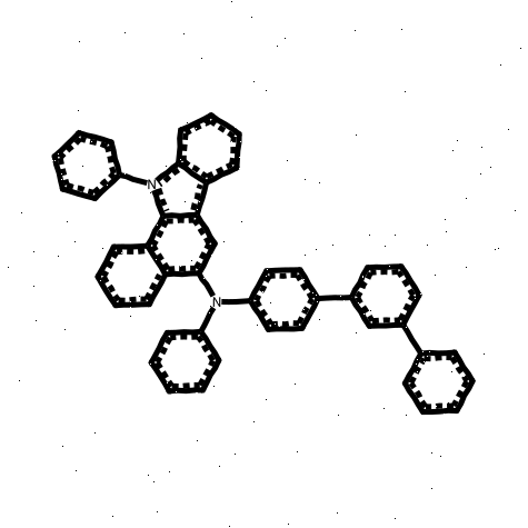 c1ccc(-c2cccc(-c3ccc(N(c4ccccc4)c4cc5c6ccccc6n(-c6ccccc6)c5c5ccccc45)cc3)c2)cc1